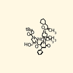 C[C@H](CC1CCCCC1)C(=O)N1CC[C@@](O)(Cn2cc(C(=O)N3CCN(C(=O)OC(C)(C)C)C[C@H]3CO)c(-c3ccccc3)cc2=O)C(C)(C)C1